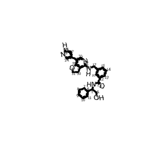 O=C(NC(CO)c1ccccc1)c1cccc(CNc2ncc(-c3cn[nH]c3)c3c2CCO3)c1